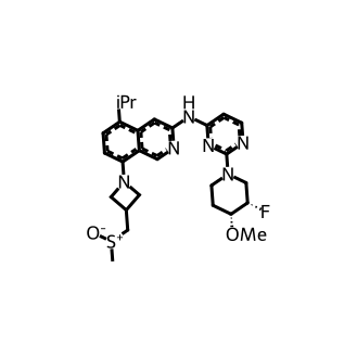 CO[C@@H]1CCN(c2nccc(Nc3cc4c(C(C)C)ccc(N5CC(C[S+](C)[O-])C5)c4cn3)n2)C[C@@H]1F